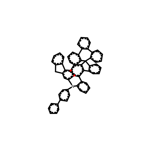 c1ccc(-c2ccc(N(c3ccc4c(c3)Cc3ccccc3-4)c3ccccc3-c3cccc4c3-c3ccccc3C43c4ccccc4-c4ccccc4-c4ccccc43)cc2)cc1